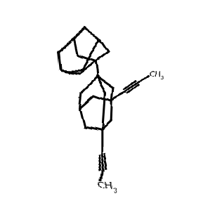 CC#CC12CC3CC(C#CC)(C1)CC(C14CC5CC(CC(C5)C1)C4)(C3)C2